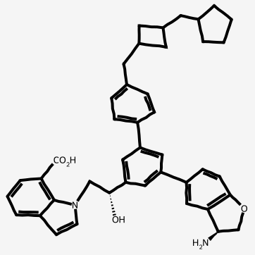 N[C@@H]1COc2ccc(-c3cc(-c4ccc(CC5CC(CC6CCCC6)C5)cc4)cc([C@H](O)Cn4ccc5cccc(C(=O)O)c54)c3)cc21